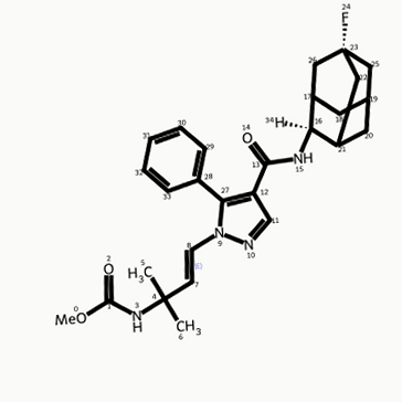 COC(=O)NC(C)(C)/C=C/n1ncc(C(=O)N[C@H]2C3CC4CC2C[C@](F)(C4)C3)c1-c1ccccc1